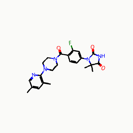 Cc1cnc(N2CCN(C(=O)c3ccc(N4C(=O)NC(=O)C4(C)C)cc3F)CC2)c(C)c1